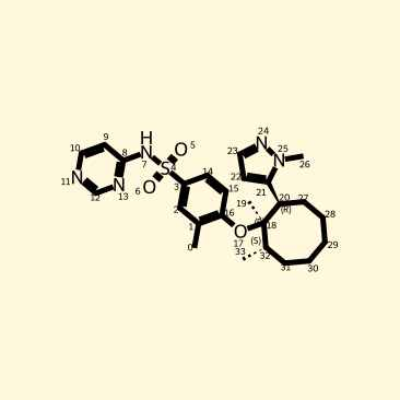 Cc1cc(S(=O)(=O)Nc2ccncn2)ccc1O[C@@]1(C)[C@@H](c2ccnn2C)CCCCC[C@@H]1C